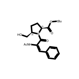 CC(=O)NC(=Cc1ccccc1)C(=O)N1[C@@H](CO)CC[C@H]1C(=O)OC(C)(C)C